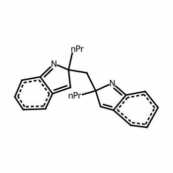 CCCC1(CC2(CCC)C=c3ccccc3=N2)C=c2ccccc2=N1